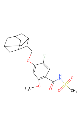 COc1cc(OCC2C3CC4CC(C3)CC2C4)c(Cl)cc1C(=O)NS(C)(=O)=O